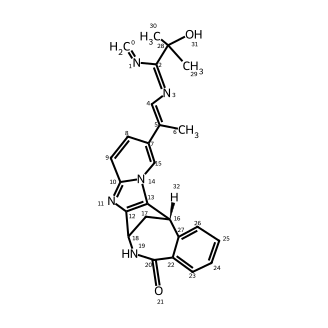 C=N/C(=N\C=C(/C)c1ccc2nc3c(n2c1)[C@H]1CC3NC(=O)c2ccccc21)C(C)(C)O